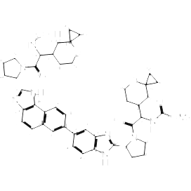 COC(=O)NC(C(=O)N1CCC[C@H]1c1nc2cc(-c3ccc4c(ccc5nc([C@@H]6CCCN6C(=O)C(NC(=O)O)C6CCOC7(CC7)C6)[nH]c54)c3)ccc2[nH]1)C1CCOC2(CC2)C1